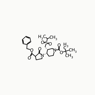 CC(C)S(=O)(=O)C[C@@H]1CN(C(=O)OC(C)(C)C)CC[C@@H]1N1CCC(C(=O)OCc2ccccc2)C1=O